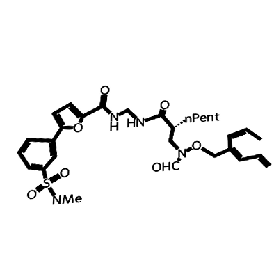 C=C/C=C(\C=C/C)CON(C=O)C[C@@H](CCCCC)C(=O)NCNC(=O)c1ccc(-c2cccc(S(=O)(=O)NC)c2)o1